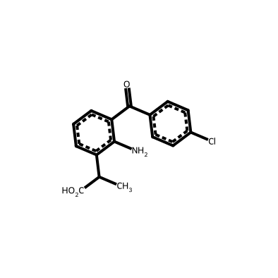 CC(C(=O)O)c1cccc(C(=O)c2ccc(Cl)cc2)c1N